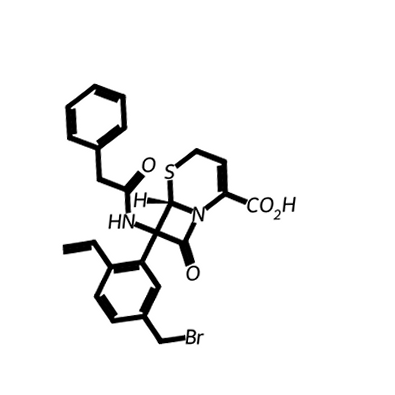 C=Cc1ccc(CBr)cc1C1(NC(=O)Cc2ccccc2)C(=O)N2C(C(=O)O)=CCS[C@H]21